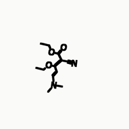 CCOC(=O)C(C#N)=C(C=CN(C)C)OCC